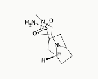 CN1CC(N2C3CC[C@@H]2CC(S(N)(=O)=O)C3)C1